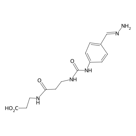 NN=Cc1ccc(NC(=O)NCCC(=O)NCCC(=O)O)cc1